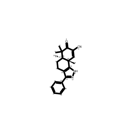 CC1(C)C(=O)C(C#N)=C[C@]2(C)c3[nH]nc(-c4ccccc4)c3CC[C@@H]12